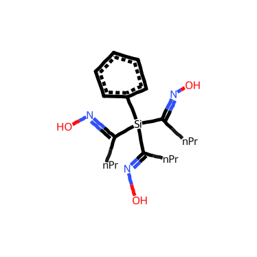 CCCC(=NO)[Si](C(CCC)=NO)(C(CCC)=NO)c1ccccc1